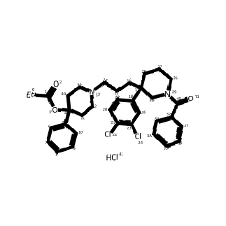 CCC(=O)OC1(c2ccccc2)CCN(CCCC2(c3ccc(Cl)c(Cl)c3)CCCN(C(=O)c3ccccc3)C2)CC1.Cl